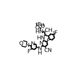 C[C@H](NC(=O)OC(C)(C)C)[C@H](Nc1nc(Nc2cnc(N3CCOCC3)c(F)c2)c(C#N)cc1F)c1cccc(F)c1